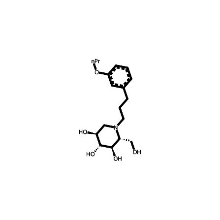 CCCOc1cccc(CCCN2C[C@H](O)[C@@H](O)[C@H](O)[C@H]2CO)c1